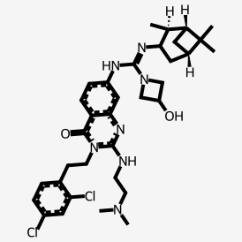 C[C@@H]1C(/N=C(/Nc2ccc3c(=O)n(CCc4ccc(Cl)cc4Cl)c(NCCN(C)C)nc3c2)N2CC(O)C2)C[C@@H]2C[C@H]1C2(C)C